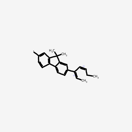 C/C=C(\C=C/CC)c1ccc2c(c1)C(C)(C)c1cc(I)ccc1-2